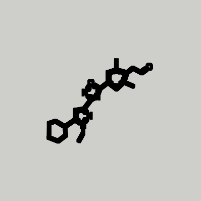 CCn1nc(-c2noc(-c3cc(C)c(CC=O)c(C)c3)n2)cc1C1CCCCC1